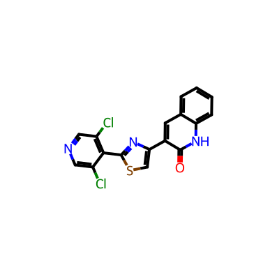 O=c1[nH]c2ccccc2cc1-c1csc(-c2c(Cl)cncc2Cl)n1